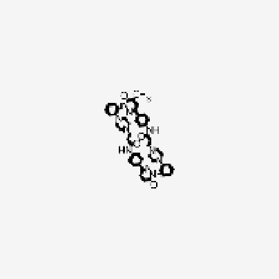 Cc1cc(-c2ccc(NC(=O)CCN3CCN(c4ccccc4)CC3)cc2)n[nH]c1=O.O=C1CCC(c2ccc(NC(=O)CCN3CCN(c4ccccc4)CC3)cc2)=NN1